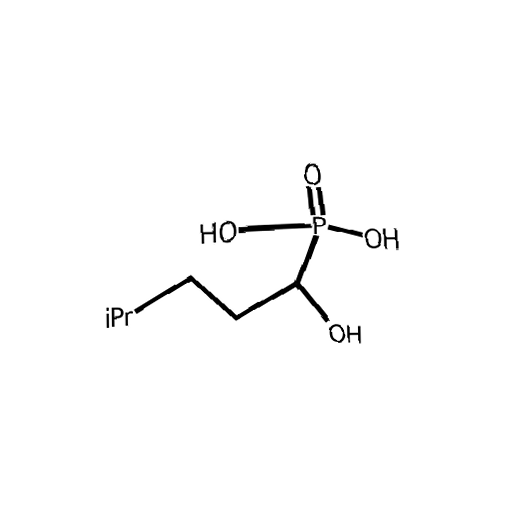 CC(C)CCC(O)P(=O)(O)O